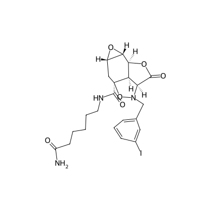 NC(=O)CCCCCNC(=O)[C@]12C[C@@H]3O[C@@H]3[C@H]3OC(=O)[C@H]([C@H]31)N(Cc1cccc(I)c1)O2